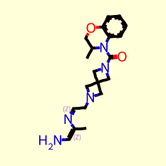 CC(=C/N)/N=C\CN1CC2(C1)CN(C(=O)N1c3ccccc3OCC1C)C2